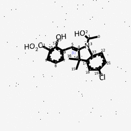 CC(O)N1/C(=C/c2cccc(C(=O)O)c2O)C(C)(C)c2cc(Cl)ccc21